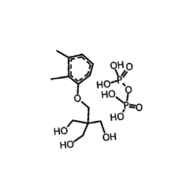 Cc1cccc(OCC(CO)(CO)CO)c1C.O=P(O)(O)OP(=O)(O)O